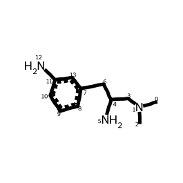 CN(C)CC(N)Cc1cccc(N)c1